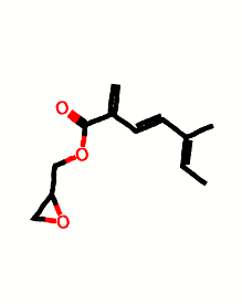 C=C(C=CC(C)=CC)C(=O)OCC1CO1